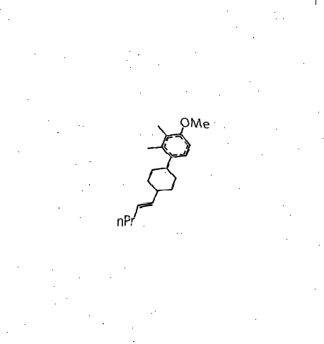 CCC/C=C/C1CCC(c2ccc(OC)c(C)c2C)CC1